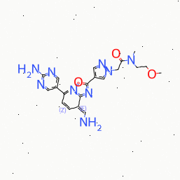 C=C(/C=C\C(=C/N)c1noc(-c2cnn(CC(=O)N(C)CCOC)c2)n1)c1cnc(N)nc1